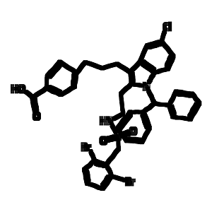 O=C(O)c1ccc(CCCc2c(CCNS(=O)(=O)Cc3c(Br)cccc3Br)n(C(c3ccccc3)c3ccccc3)c3ccc(Cl)cc23)cc1